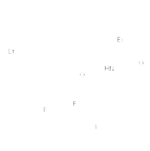 CCC(=O)Nc1cccc(F)c1COc1ccc(CC)cc1C(F)F